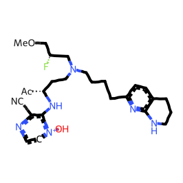 COC[C@@H](F)CN(CCCCc1ccc2c(n1)NCCC2)CC[C@H](Nc1c(C#N)ncc[n+]1O)C(C)=O